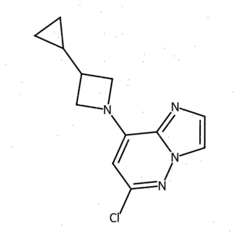 Clc1cc(N2CC(C3CC3)C2)c2nccn2n1